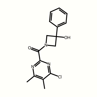 Cc1nc(C(=O)N2CC(O)(c3ccccc3)C2)nc(Cl)c1C